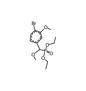 CCOP(=O)(OCC)C(OC)c1ccc(Br)c(OC)c1